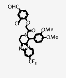 COc1ccc(C2c3c(nc4cc(C(F)(F)F)ccn34)CCN2C(=O)COc2ccc(C=O)cc2Cl)cc1OC